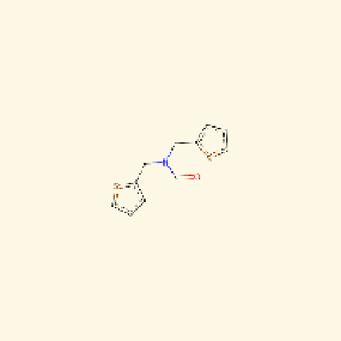 O=CN(Cc1cccs1)Cc1cccs1